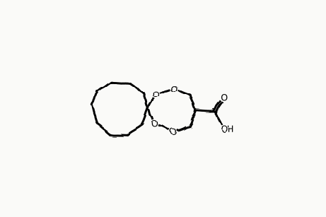 O=C(O)C1COOC2(CCCCCCCCC2)OOC1